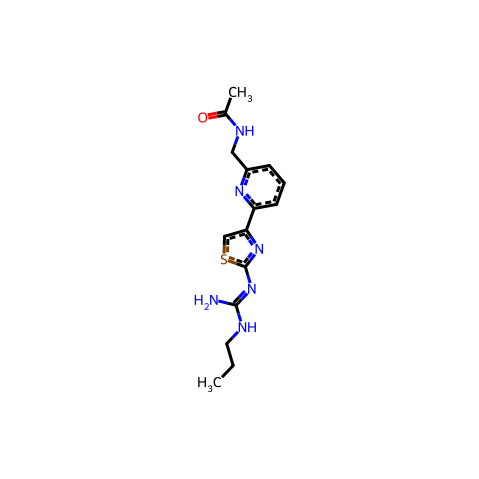 CCCN/C(N)=N/c1nc(-c2cccc(CNC(C)=O)n2)cs1